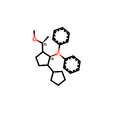 CO[C@@H](C)C1CCC(C2CCCC2)[C@@H]1P(c1ccccc1)c1ccccc1